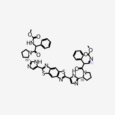 COC(=O)/N=C\C(C(=O)N1CCC[C@H]1c1ncc(-c2nc3cc4sc(-c5cnc([C@@H]6CCCN6C(=O)C(NC(=O)OC)c6ccccc6)[nH]5)nc4cc3s2)[nH]1)c1ccccc1